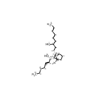 CCCCCCC(O)CC[C@@H]1C2CC[C@@H](O2)[C@@H]1[C@@H](O)C=CCSCC